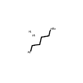 CCCCCCC[CH2][Al].I.I